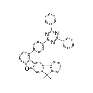 CC1(C)c2ccccc2-c2cc3c(cc21)oc1cccc(-c2ccc(-c4nc(-c5ccccc5)nc(-c5ccccc5)n4)cc2)c13